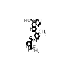 Cc1ccc(NC(=O)c2ccnc(C(C)(F)F)c2)cc1-c1cnc2c(c1)N1CCOC[C@@H]1[C@H](CO)C2